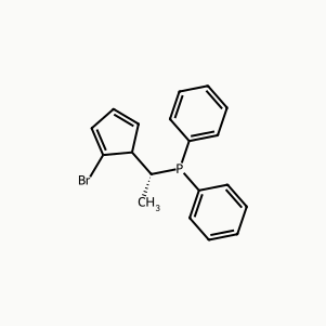 C[C@H](C1C=CC=C1Br)P(c1ccccc1)c1ccccc1